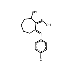 CCCC1CCCCC(=Cc2ccc(Cl)cc2)C1=NO